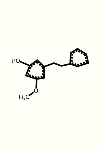 COc1cc(O)cc(CCc2ccccc2)c1